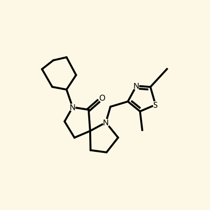 Cc1nc(CN2CCCC23CCN(C2CCCCC2)C3=O)c(C)s1